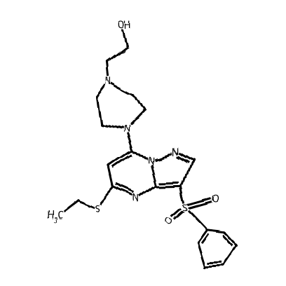 CCSc1cc(N2CCN(CCO)CC2)n2ncc(S(=O)(=O)c3ccccc3)c2n1